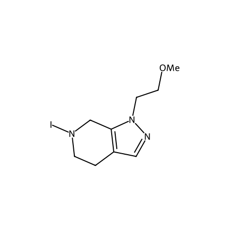 COCCn1ncc2c1CN(I)CC2